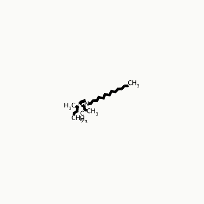 CCCCCCCCCCCCCCn1cc[n+](C(C)CCC)c1C(C)C